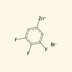 Fc1c[c]([Zn+])cc(F)c1F.[Br-]